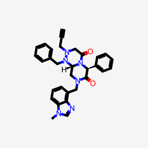 C#CCN1CC(=O)N2[C@@H](c3ccccc3)C(=O)N(Cc3cccc4c3ncn4C)C[C@@H]2N1Cc1ccccc1